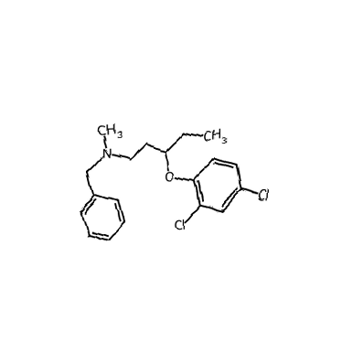 CCC(CCN(C)Cc1ccccc1)Oc1ccc(Cl)cc1Cl